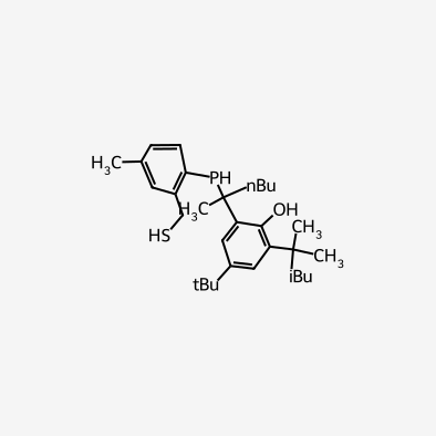 CCCCC(C)(Pc1ccc(C)cc1CS)c1cc(C(C)(C)C)cc(C(C)(C)C(C)CC)c1O